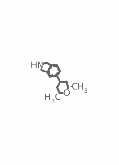 C[C@@H]1CC(c2ccc3c(c2)CNC3)C[C@H](C)O1